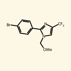 COCn1cc(C(F)(F)F)nc1-c1ccc(Br)cc1